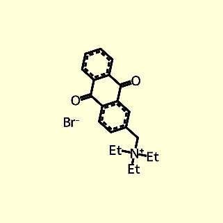 CC[N+](CC)(CC)Cc1ccc2c(c1)C(=O)c1ccccc1C2=O.[Br-]